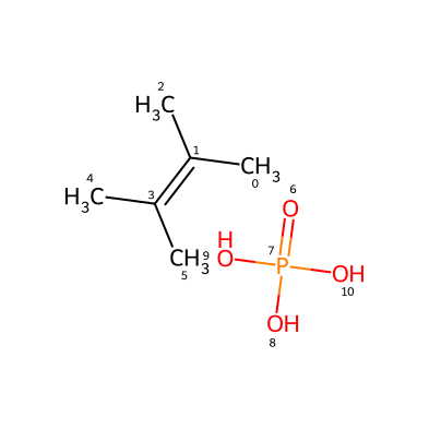 CC(C)=C(C)C.O=P(O)(O)O